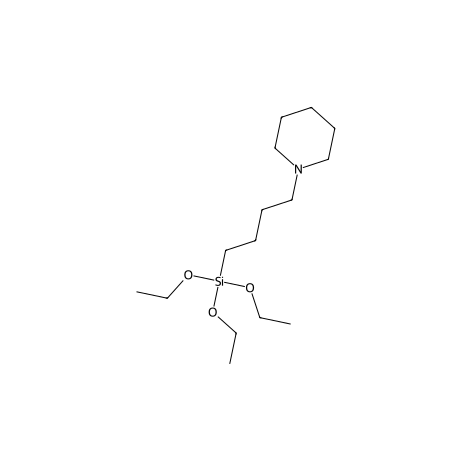 CCO[Si](CCCCN1CCCCC1)(OCC)OCC